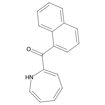 O=C(C1=CC=CC=CN1)c1cccc2ccccc12